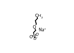 CCCCOCCS(=O)(=O)[O-].[Na+]